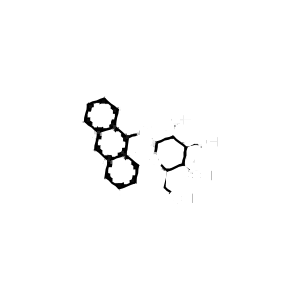 OC[C@H]1O[C@H](Oc2c3ccccc3cc3ccccc23)[C@H](O)[C@@H](O)[C@H]1O